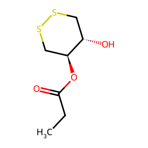 CCC(=O)O[C@H]1CSSC[C@@H]1O